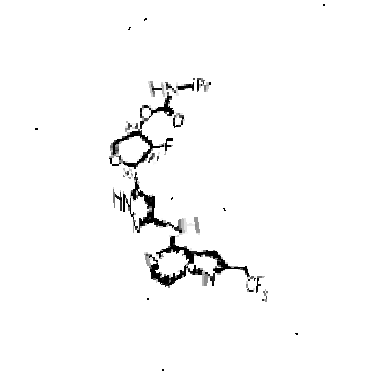 CC(C)NC(=O)O[C@@H]1CO[C@H](c2cc(Nc3nccn4nc(CC(F)(F)F)cc34)n[nH]2)[C@@H]1F